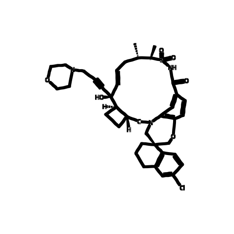 C[C@@H]1[C@@H](C)C/C=C/[C@@](O)(C#CCN2CCOCC2)[C@@H]2CC[C@H]2CN2C[C@@]3(CCCc4cc(Cl)ccc43)COc3ccc(cc32)C(=O)NS1(=O)=O